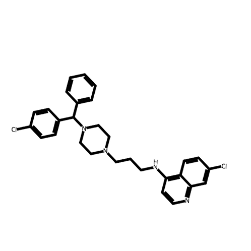 Clc1ccc(C(c2ccccc2)N2CCN(CCCNc3ccnc4cc(Cl)ccc34)CC2)cc1